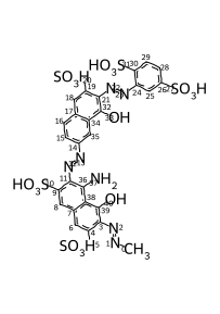 CN=Nc1c(S(=O)(=O)O)cc2cc(S(=O)(=O)O)c(N=Nc3ccc4cc(S(=O)(=O)O)c(N=Nc5cc(S(=O)(=O)O)ccc5S(=O)(=O)O)c(O)c4c3)c(N)c2c1O